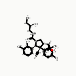 CC(C)(C)C[C@@H]1CN(C(=O)NC[C@H](O)CO)[C@H](c2cccc(Cl)c2F)[C@@]1(C#N)c1ccc(Cl)cc1F